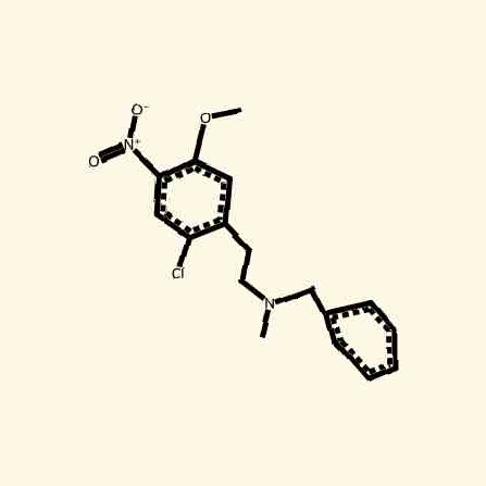 COc1cc(CCN(C)Cc2ccccc2)c(Cl)cc1[N+](=O)[O-]